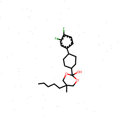 CCCCCC1(C)COC(O)(C2CCC(c3ccc(F)c(F)c3)CC2)OC1